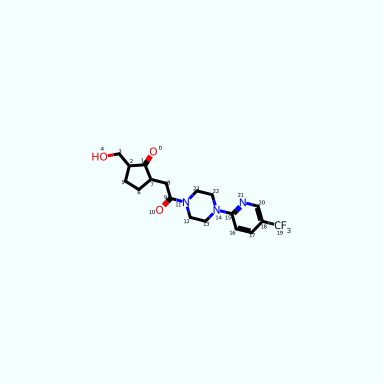 O=C1C(CO)CCC1CC(=O)N1CCN(c2ccc(C(F)(F)F)cn2)CC1